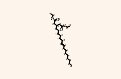 CCCCCCCCC=CCCCCCCC(CC(=O)OCC)CC(=O)OCC